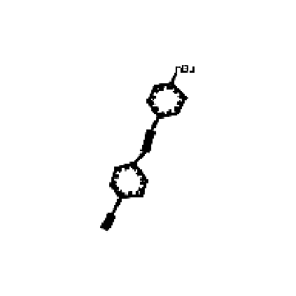 C#Cc1ccc(C#Cc2ccc(CCCC)cc2)cc1